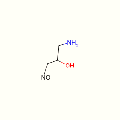 NCC(O)CN=O